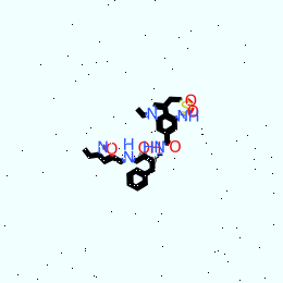 CCc1cc(CNC[C@H](O)[C@H](CNC(=O)c2cc3c4c(cn(CC)c4c2)CCS(=O)(=O)N3)Cc2ccccc2)on1